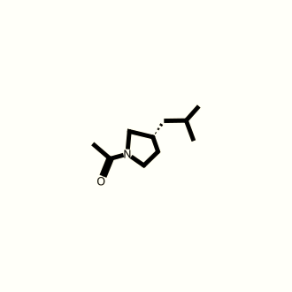 CC(=O)N1CC[C@@H](CC(C)C)C1